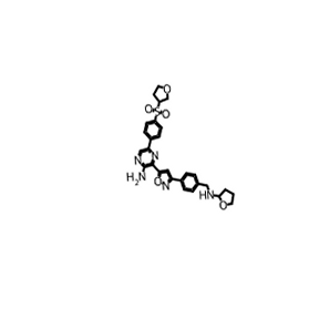 Nc1ncc(-c2ccc(S(=O)(=O)C3CCOC3)cc2)nc1-c1cc(-c2ccc(CNC3CCCO3)cc2)no1